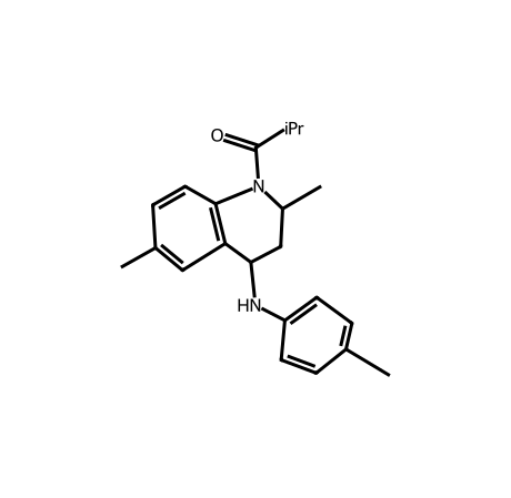 Cc1ccc(NC2CC(C)N(C(=O)C(C)C)c3ccc(C)cc32)cc1